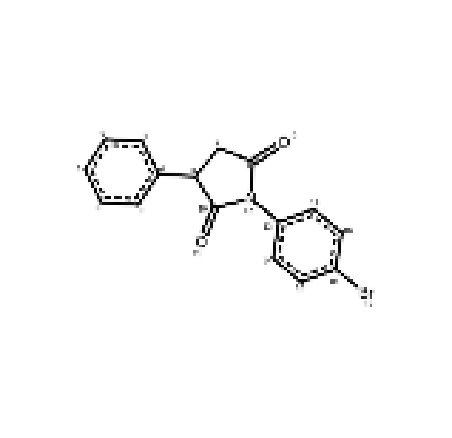 O=C1CC(c2ccccc2)C(=O)N1c1ccc(Br)cc1